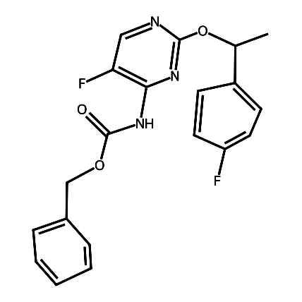 CC(Oc1ncc(F)c(NC(=O)OCc2ccccc2)n1)c1ccc(F)cc1